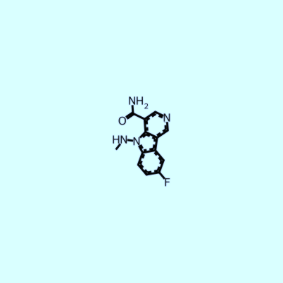 CNn1c2ccc(F)cc2c2cncc(C(N)=O)c21